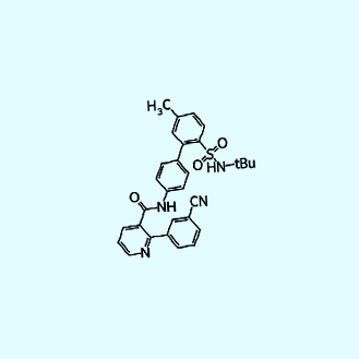 Cc1ccc(S(=O)(=O)NC(C)(C)C)c(-c2ccc(NC(=O)c3cccnc3-c3cccc(C#N)c3)cc2)c1